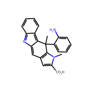 Cn1c(C(=O)O)cc2c1C(C)(c1ccccc1N)C1=c3ccccc3=NC1=C2